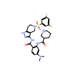 CN(C)c1ccc(C(=O)Nc2n[nH]c3c2CN(S(=O)(=O)c2cc(F)cc(F)c2)CC3)c(NC(=O)C2CCCNC2)c1